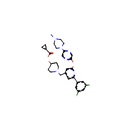 CN1CCN(c2cnc(Oc3cc(CN4CCC(OC(=O)C5CC5)CC4)cc(-c4cc(Cl)cc(Cl)c4)n3)cn2)CC1